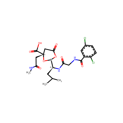 CNC(=O)C[C@@]1(C(=O)O)CC(=O)OB([C@H](CC(C)C)NC(=O)CNC(=O)c2cc(Cl)ccc2Cl)O1